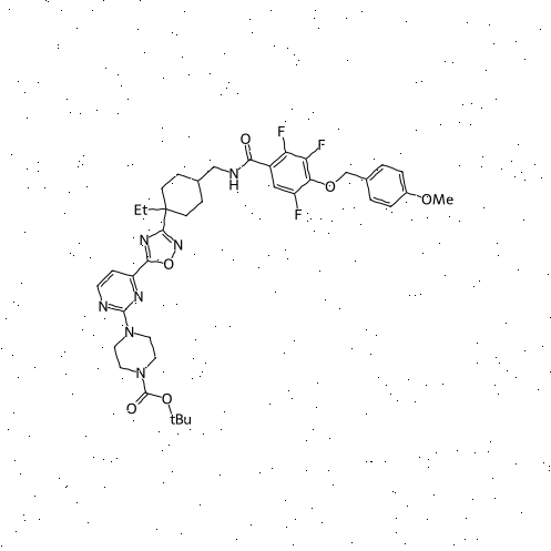 CCC1(c2noc(-c3ccnc(N4CCN(C(=O)OC(C)(C)C)CC4)n3)n2)CCC(CNC(=O)c2cc(F)c(OCc3ccc(OC)cc3)c(F)c2F)CC1